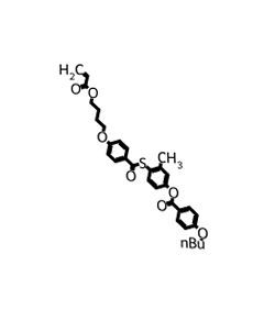 C=CC(=O)OCCCCOc1ccc(C(=O)Sc2ccc(OC(=O)c3ccc(OCCCC)cc3)cc2C)cc1